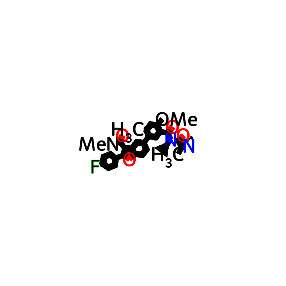 CNC(=O)c1c(-c2ccc(F)cc2)oc2ccc(-c3cc(C(=O)N(c4ocnc4C)C4CC4)c(OC)cc3C)cc12